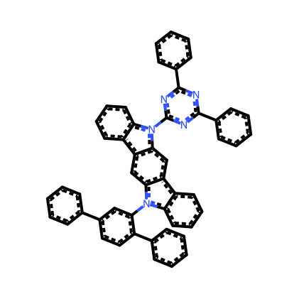 c1ccc(-c2ccc(-c3ccccc3)c(-n3c4ccccc4c4cc5c(cc43)c3ccccc3n5-c3nc(-c4ccccc4)nc(-c4ccccc4)n3)c2)cc1